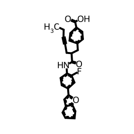 CCC#CCC(Cc1ccc(C(=O)O)cc1)C(=O)Nc1ccc(-c2cc3ccccc3o2)cc1F